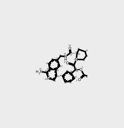 CC(=O)O[C@H](C(=O)N1CCCC[C@H]1C(=O)NCc1ccc2c(N)nccc2c1)c1ccccc1